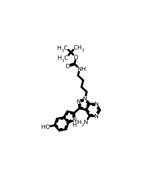 CC(C)(C)OC(=O)NCCCCn1nc(-c2cc3cc(O)ccc3[nH]2)c2c(N)ncnc21